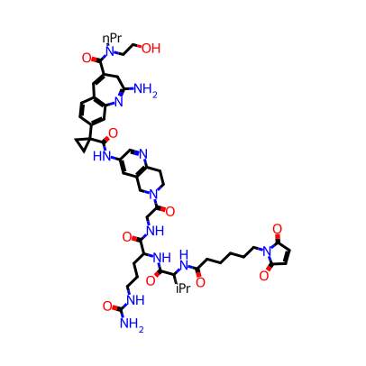 CCCN(CCO)C(=O)C1=Cc2ccc(C3(C(=O)Nc4cnc5c(c4)CN(C(=O)CNC(=O)C(CCCNC(N)=O)NC(=O)C(NC(=O)CCCCCN4C(=O)C=CC4=O)C(C)C)CC5)CC3)cc2N=C(N)C1